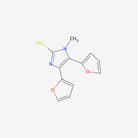 Cn1c(S)nc(-c2ccco2)c1-c1ccco1